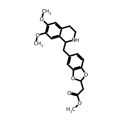 COC(=O)CC1Oc2ccc(CC3NCCc4cc(OC)c(OC)cc43)cc2O1